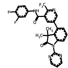 CC1(C)C(=O)N(c2ncccn2)c2cccc(-c3cnc(C(F)(F)F)c(C(=O)Nc4ccc(F)c(F)c4)c3)c21